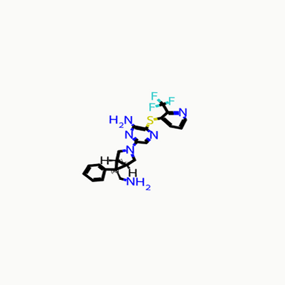 NC[C@@]1(c2ccccc2)[C@@H]2CN(c3cnc(Sc4cccnc4C(F)(F)F)c(N)n3)C[C@@H]21